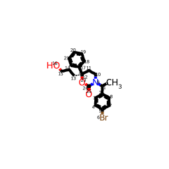 CC(c1ccc(Br)cc1)N1CC[C@](CCCO)(c2ccccc2)OC1=O